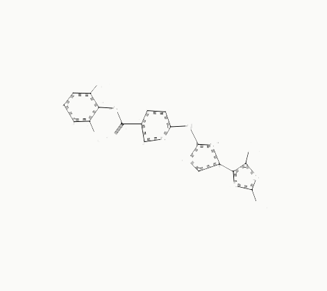 Cc1nc(C)c(-c2csc(Nc3ccc(C(=O)Nc4c(C)cccc4F)cn3)n2)s1